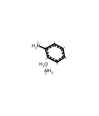 Nc1ccccc1.O.[AlH3]